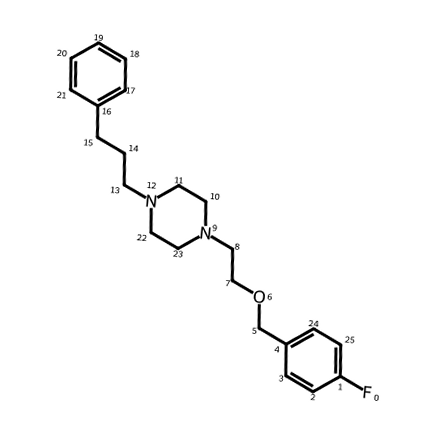 Fc1ccc(COCCN2CCN(CCCc3ccccc3)CC2)cc1